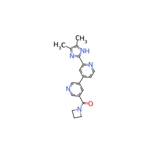 Cc1nc(-c2cc(-c3cncc(C(=O)N4CCC4)c3)ccn2)[nH]c1C